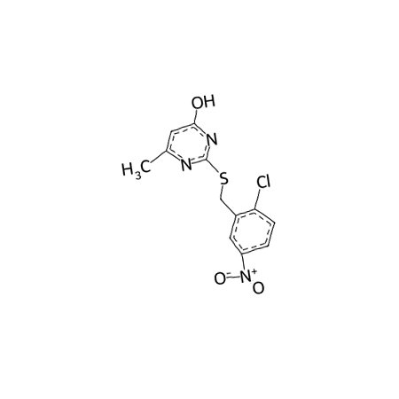 Cc1cc(O)nc(SCc2cc([N+](=O)[O-])ccc2Cl)n1